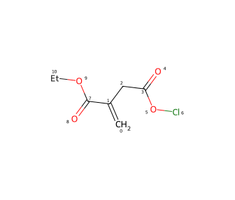 C=C(CC(=O)OCl)C(=O)OCC